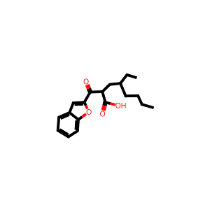 CCCCC(CC)CC(C(=O)O)C(=O)c1cc2ccccc2o1